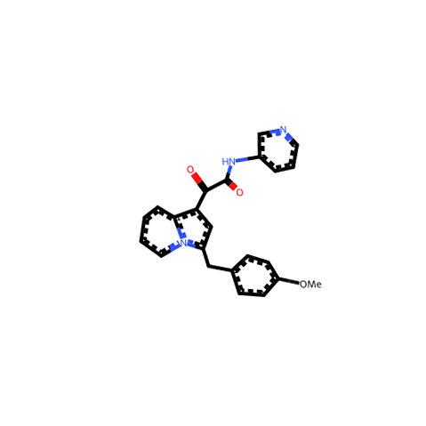 COc1ccc(Cc2cc(C(=O)C(=O)Nc3cccnc3)c3ccccn23)cc1